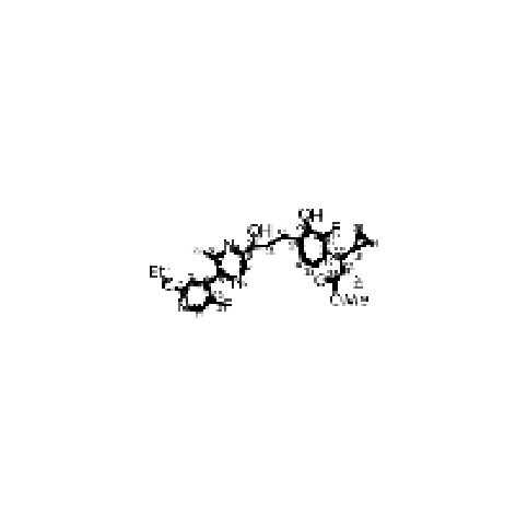 CCOc1cc(-c2ncc(C(O)CCc3ccc([C@H](C4CC4)[C@H](C)C(=O)OC)c(F)c3O)nc2C)c(F)cn1